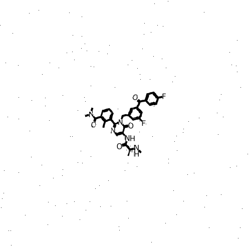 CN[C@@H](C)C(=O)Nc1cnc(-c2cccc(C(=O)N(C)C)c2C)n(Cc2cc(F)cc(C(=O)c3ccc(F)cc3)c2)c1=O